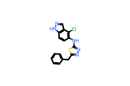 Clc1c(Nc2nnc(Cc3ccccc3)s2)ccc2[nH]ncc12